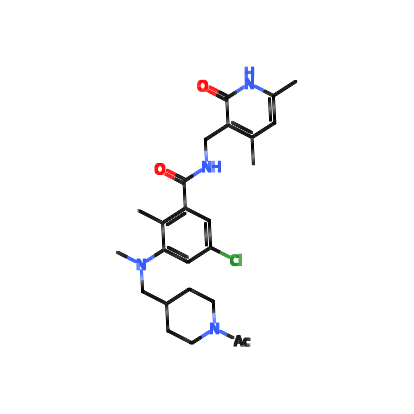 CC(=O)N1CCC(CN(C)c2cc(Cl)cc(C(=O)NCc3c(C)cc(C)[nH]c3=O)c2C)CC1